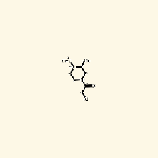 CC(C)(C)C1CN(C(=O)CCl)CCN1[C]=O